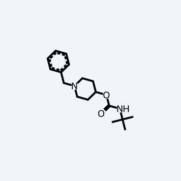 CC(C)(C)NC(=O)OC1CCN(Cc2ccccc2)CC1